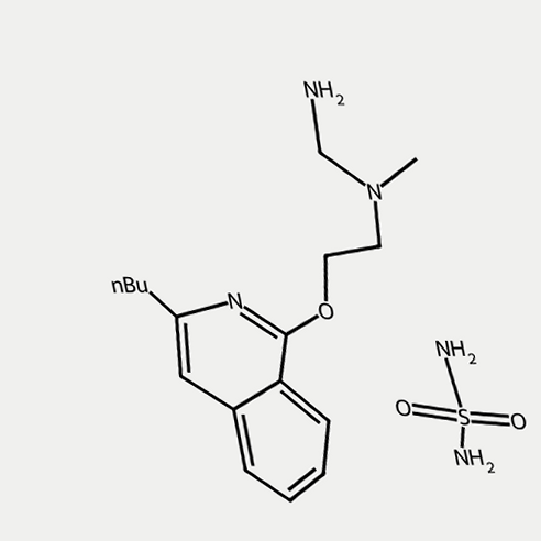 CCCCc1cc2ccccc2c(OCCN(C)CN)n1.NS(N)(=O)=O